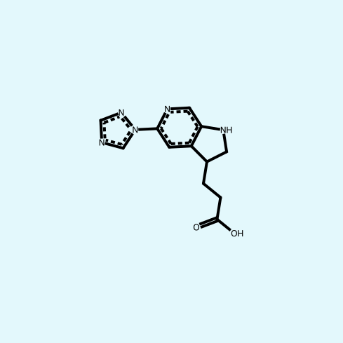 O=C(O)CCC1CNc2cnc(-n3cncn3)cc21